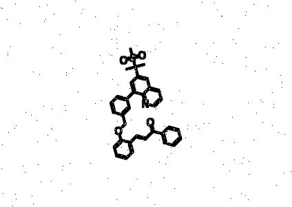 CC(C)(c1cc(-c2cccc(COc3ccccc3C=CC(=O)c3ccccc3)c2)c2ncccc2c1)S(C)(=O)=O